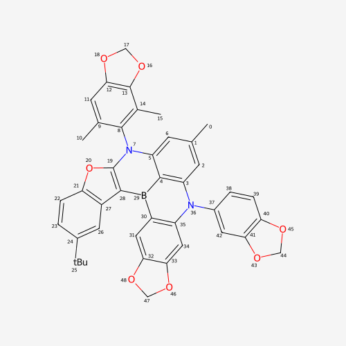 Cc1cc2c3c(c1)N(c1c(C)cc4c(c1C)OCO4)c1oc4ccc(C(C)(C)C)cc4c1B3c1cc3c(cc1N2c1ccc2c(c1)OCO2)OCO3